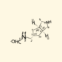 O=[C]NC[C@@H]1C[C@H]2CNC[C@H]2C1